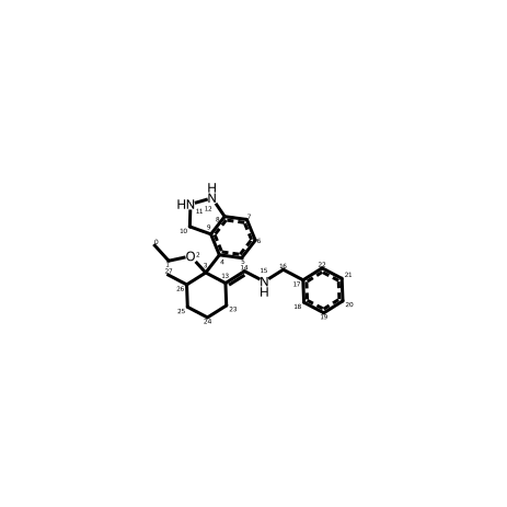 CCOC1(c2cccc3c2CNN3)/C(=C/NCc2ccccc2)CCCC1C